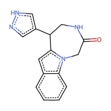 O=C1Cn2c(cc3ccccc32)C(c2cn[nH]c2)CN1